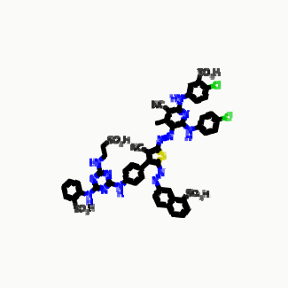 Cc1c(C#N)c(Nc2ccc(Cl)c(S(=O)(=O)O)c2)nc(Nc2ccc(Cl)cc2)c1N=Nc1sc(N=Nc2ccc3cccc(S(=O)(=O)O)c3c2)c(-c2ccc(Nc3nc(NCCS(=O)(=O)O)nc(Nc4ccccc4S(=O)(=O)O)n3)cc2)c1C#N